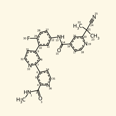 CNC(=O)c1cc(-c2cc(-c3cc(NC(=O)c4ccnc(C(C)(C)C#N)c4)ccc3F)ccn2)ccn1